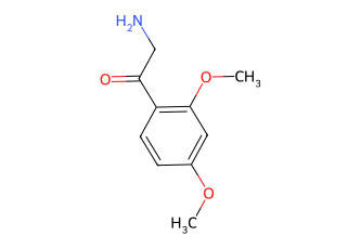 COc1ccc(C(=O)CN)c(OC)c1